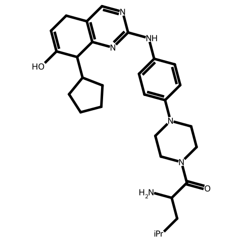 CC(C)CC(N)C(=O)N1CCN(c2ccc(Nc3ncc4c(n3)C(C3CCCC3)C(O)=CC4)cc2)CC1